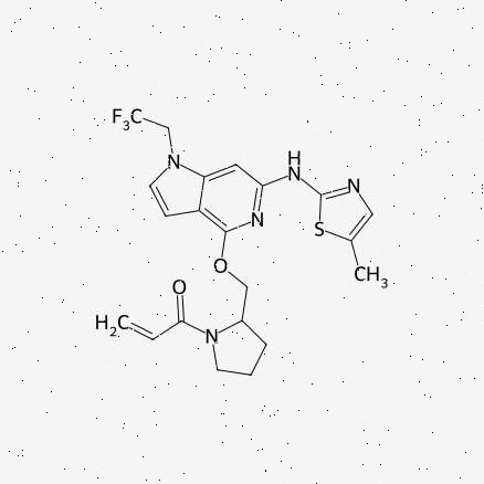 C=CC(=O)N1CCCC1COc1nc(Nc2ncc(C)s2)cc2c1ccn2CC(F)(F)F